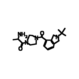 CC(N)C(=O)N1CCN(C(=O)c2cccc3c2CN(C(C)(C)C)C3)CC1